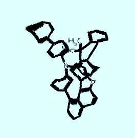 CC1(C)c2ccccc2-c2cccc(N(c3ccc(-c4ccccc4)cc3)c3cccc(-c4cccc5ccc6oc7ccccc7c6c45)c3)c21